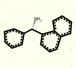 N[C@@H](c1ccccc1)c1cccc2ccccc12